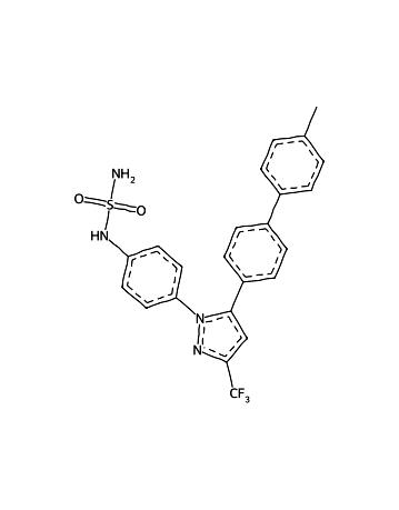 Cc1ccc(-c2ccc(-c3cc(C(F)(F)F)nn3-c3ccc(NS(N)(=O)=O)cc3)cc2)cc1